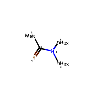 CCCCCCN(CCCCCC)C(=S)NC